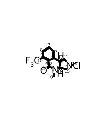 CN1C(=O)c2c(cccc2C(F)(F)F)[C@@H]2CN(Cl)C[C@@H]21